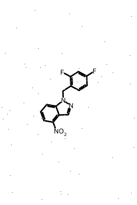 O=[N+]([O-])c1cccc2c1cnn2Cc1ccc(F)cc1F